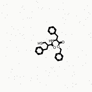 O=C(NC(Cc1ccccc1)C(=O)OCc1ccccc1)C(CS)Cc1ccccc1